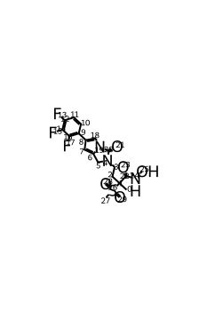 CC(CCN1Cc2cc(-c3ccc(F)c(F)c3F)cn2C1=O)(C(=O)NO)S(C)(=O)=O